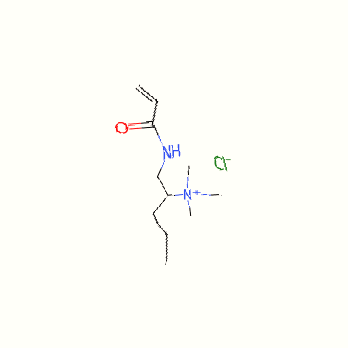 C=CC(=O)NCC(CCC)[N+](C)(C)C.[Cl-]